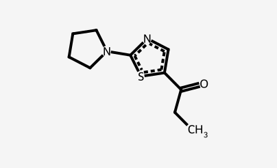 CCC(=O)c1cnc(N2CCCC2)s1